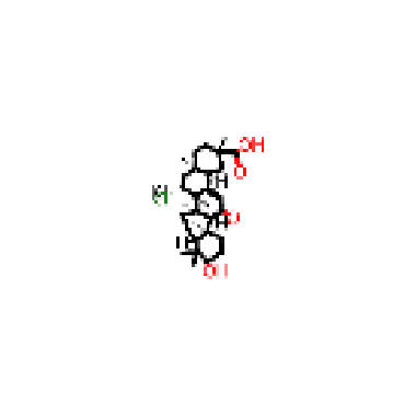 CC1(C)[C@@H](O)CC[C@]2(C)[C@H]3C(=O)C=C4[C@@H]5C[C@@](C)(C(=O)O)CC[C@]5(C)CC[C@@]4(C)[C@]3(C)CC[C@@H]12.[Cl-].[K+]